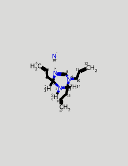 [2H]N1C([2H])(CC=C)N=CN(CC=C)C1([2H])CC=C.[N]